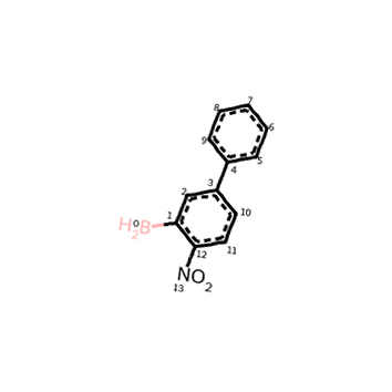 Bc1cc(-c2ccccc2)ccc1[N+](=O)[O-]